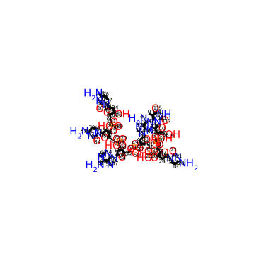 Cc1cn([C@H]2C[C@H](OP(=O)(O)OC[C@H]3O[C@@H](n4ccc(N)nc4=O)C[C@@H]3OP(=O)(O)OC[C@H]3O[C@@H](n4cnc5c(N)ncnc54)C[C@@H]3OP(=O)(O)OC[C@H]3O[C@@H](n4cnc5c(N)ncnc54)C[C@@H]3OP(=O)(O)OC[C@H]3O[C@@H](n4ccc(N)nc4=O)C[C@@H]3OP(=O)(O)OC[C@H]3O[C@@H](n4ccc(N)nc4=O)C[C@@H]3O)[C@@H](CO)O2)c(=O)[nH]c1=O